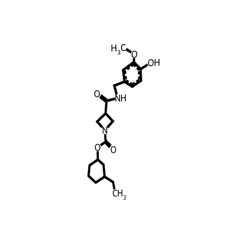 CCC1CCCC(OC(=O)N2CC(C(=O)NCc3ccc(O)c(OC)c3)C2)C1